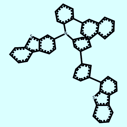 c1cc(-c2cccc(N(c3ccc4c(c3)sc3ccccc34)c3ccccc3-c3ccc4ccccc4c3)c2)cc(-c2cccc3c2sc2ccccc23)c1